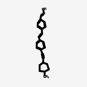 CC1CCC(C#Cc2ccc(/C=C/c3ccc(/C=N/O)cc3)cc2)CC1